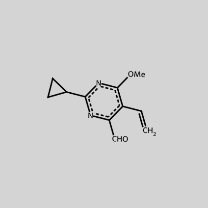 C=Cc1c(C=O)nc(C2CC2)nc1OC